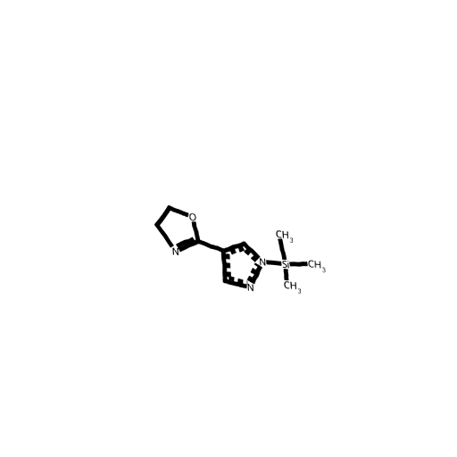 C[Si](C)(C)n1cc(C2=NCCO2)cn1